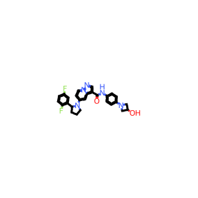 O=C(Nc1ccc(N2CC(O)C2)cc1)c1cnn2ccc(N3CCCC3c3cc(F)ccc3F)cc12